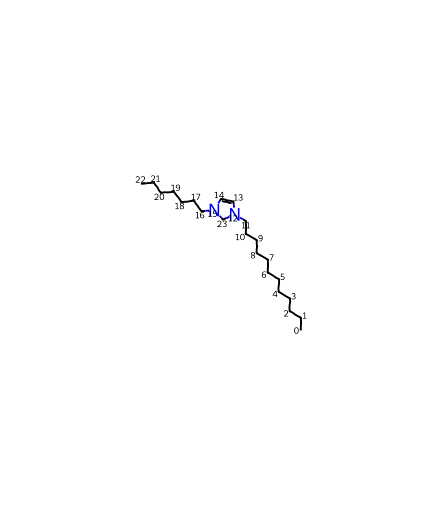 CCCCCCCCCCCCN1C=CN(CCCCCCC)C1